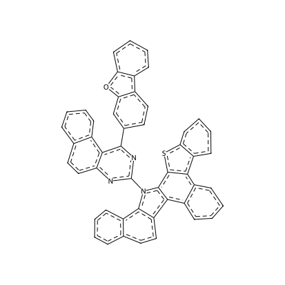 c1ccc2c(c1)ccc1nc(-n3c4c5ccccc5ccc4c4c5ccccc5c5c6ccccc6sc5c43)nc(-c3ccc4c(c3)oc3ccccc34)c12